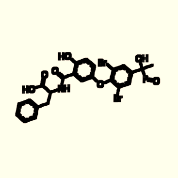 CC(O)(P=O)c1cc(Br)c(Oc2ccc(O)c(C(=O)NC(Cc3ccccc3)C(=O)O)c2)c(Br)c1